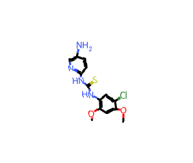 COc1cc(OC)c(NC(=S)Nc2ccc(N)cn2)cc1Cl